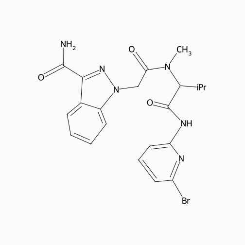 CC(C)C(C(=O)Nc1cccc(Br)n1)N(C)C(=O)Cn1nc(C(N)=O)c2ccccc21